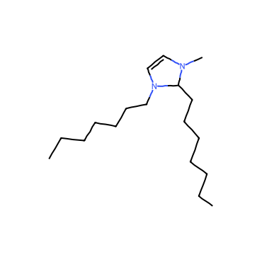 CCCCCCCC1N(C)C=CN1CCCCCCC